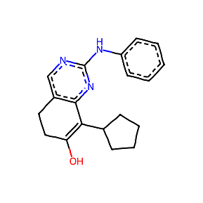 OC1=C(C2CCCC2)c2nc(Nc3ccccc3)ncc2CC1